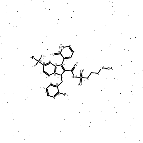 COCCCS(=O)(=O)NC(=O)c1c(-c2ccc[nH]c2=O)c2cc(C(F)(F)F)ccc2n1Cc1ccccc1F